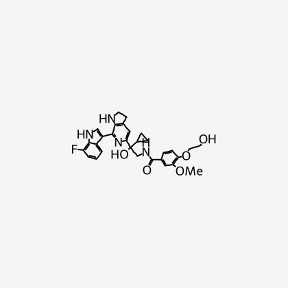 COc1cc(C(=O)NCC(O)(c2cc3c(c(-c4c[nH]c5c(F)cccc45)n2)NCC3)C2CC2)ccc1OCCO